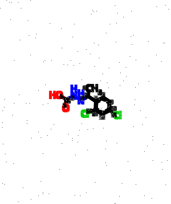 CC(NNC(=O)O)c1ccc(Cl)cc1Cl